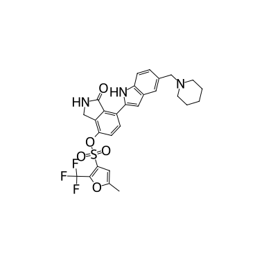 Cc1cc(S(=O)(=O)Oc2ccc(-c3cc4cc(CN5CCCCC5)ccc4[nH]3)c3c2CNC3=O)c(C(F)(F)F)o1